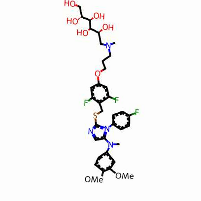 COc1ccc(N(C)c2cnc(SCc3c(F)cc(OCCCN(C)C[C@H](O)[C@@H](O)[C@H](O)[C@H](O)CO)cc3F)n2-c2ccc(F)cc2)cc1OC